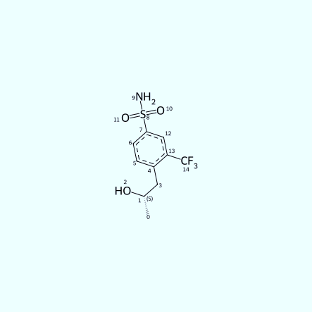 C[C@H](O)Cc1ccc(S(N)(=O)=O)cc1C(F)(F)F